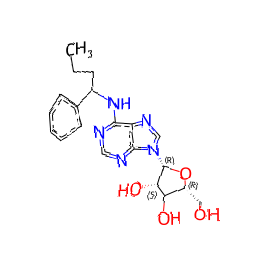 CCCC(Nc1ncnc2c1ncn2[C@@H]1O[C@H](CO)C(O)[C@@H]1O)c1ccccc1